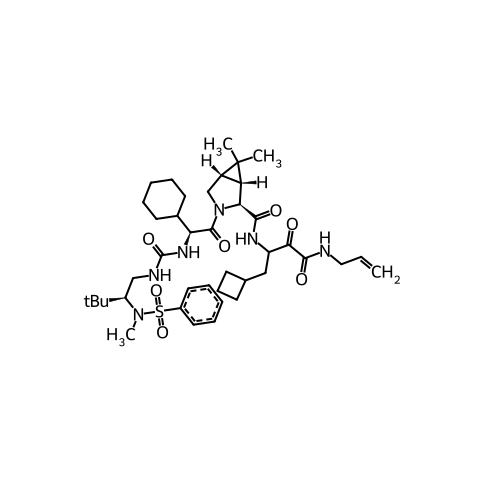 C=CCNC(=O)C(=O)C(CC1CCC1)NC(=O)[C@@H]1[C@@H]2[C@H](CN1C(=O)[C@@H](NC(=O)NC[C@@H](N(C)S(=O)(=O)c1ccccc1)C(C)(C)C)C1CCCCC1)C2(C)C